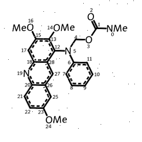 CNC(=O)OCN(c1ccccc1)c1c(OC)c(OC)cc2nc3ccc(OC)cc3cc12